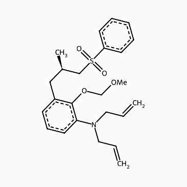 C=CCN(CC=C)c1cccc(C[C@@H](C)CS(=O)(=O)c2ccccc2)c1OCOC